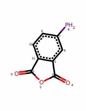 O=C1OC(=O)c2cc(P)ccc21